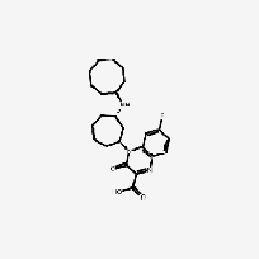 O=C(O)c1nc2ccc(F)cc2n([C@H]2CCCC[C@H](NC3CCCCCCC3)C2)c1=O